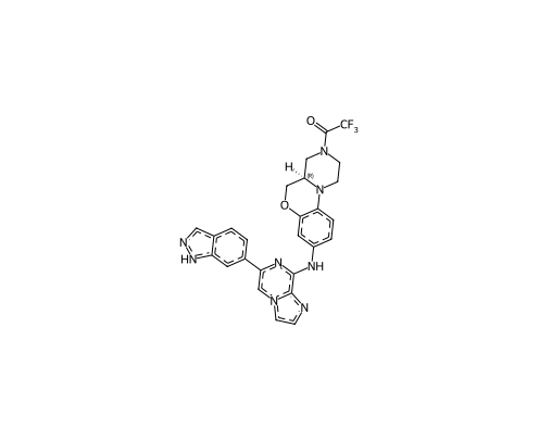 O=C(N1CCN2c3ccc(Nc4nc(-c5ccc6cn[nH]c6c5)cn5ccnc45)cc3OC[C@H]2C1)C(F)(F)F